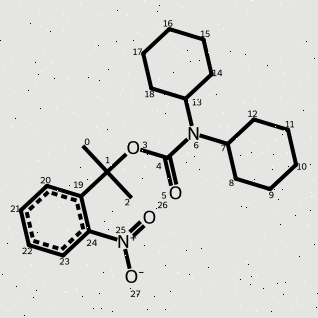 CC(C)(OC(=O)N(C1CCCCC1)C1CCCCC1)c1ccccc1[N+](=O)[O-]